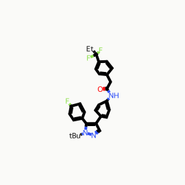 CCC(F)(F)c1ccc(CC(=O)Nc2ccc(-c3cnn(C(C)(C)C)c3-c3ccc(F)cc3)cc2)cc1